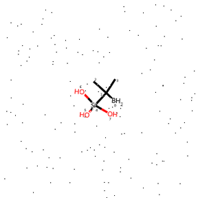 BC(C)(C)[Si](O)(O)O